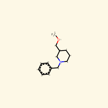 FC(F)(F)OCC1CCCN(Cc2ccccc2)C1